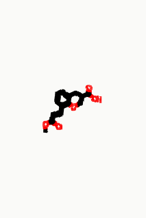 COC(=O)/C=C/c1cccc2c1OCC(C(=O)O)C2